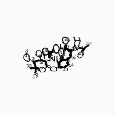 CO[C@@H]1[C@H](O)[C@@H](NC(=O)O)[C@H](Oc2ccc3cc(NC(C)=O)c(=O)oc3c2)OC1(C)C